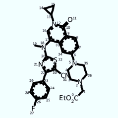 CCOC(=O)CN1CCN(c2ccc3c(=O)n(C4CC4)cc(N(C)c4nc(-c5ccc(F)cc5)c(C#N)s4)c3c2)CC1